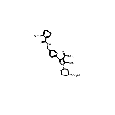 CCOC(=O)[C@H]1CCC[C@H](n2nc(-c3ccc(CNC(=O)c4ccccc4OC)cc3)c(C(N)=O)c2N)C1